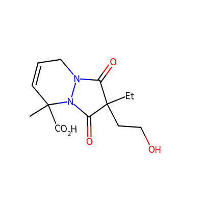 CCC1(CCO)C(=O)N2CC=CC(C)(C(=O)O)N2C1=O